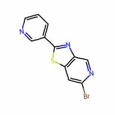 Brc1cc2sc(-c3cccnc3)nc2cn1